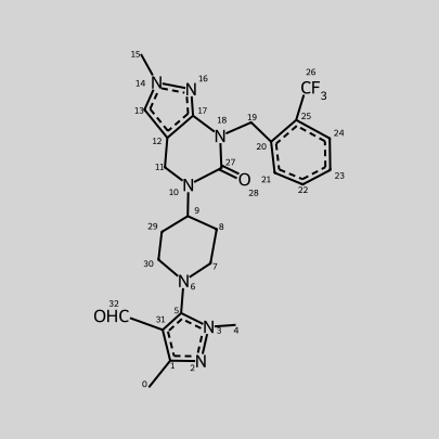 Cc1nn(C)c(N2CCC(N3Cc4cn(C)nc4N(Cc4ccccc4C(F)(F)F)C3=O)CC2)c1C=O